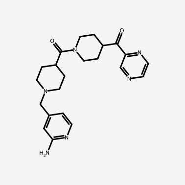 Nc1cc(CN2CCC(C(=O)N3CCC(C(=O)c4cnccn4)CC3)CC2)ccn1